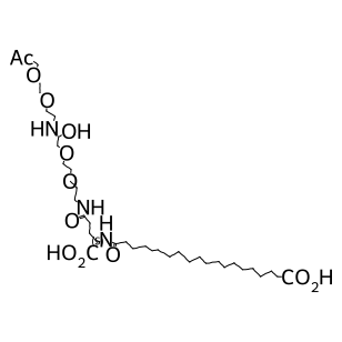 CC(=O)COCCOCCNC(O)COCCOCCNC(=O)CC[C@H](NC(=O)CCCCCCCCCCCCCCCCCCC(=O)O)C(=O)O